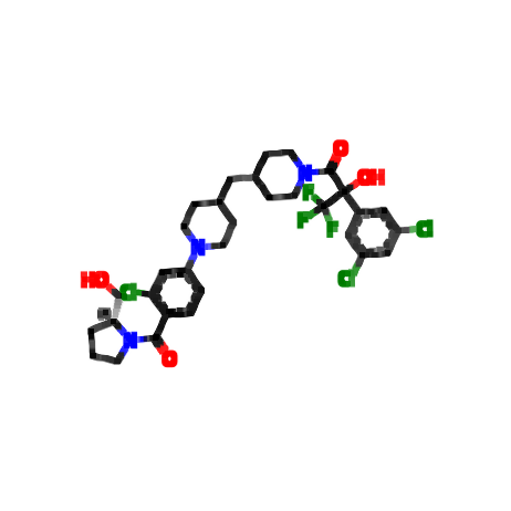 O=C(c1ccc(N2CCC(CC3CCN(C(=O)C(O)(c4cc(Cl)cc(Cl)c4)C(F)(F)F)CC3)CC2)cc1Cl)N1CCC[C@@H]1CO